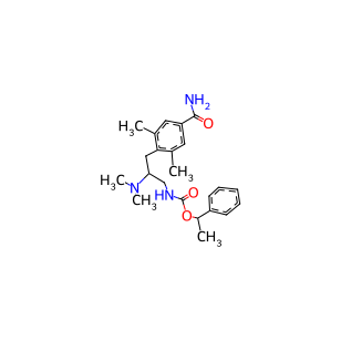 Cc1cc(C(N)=O)cc(C)c1CC(CNC(=O)OC(C)c1ccccc1)N(C)C